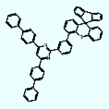 c1ccc(-c2ccc(-c3cc(-c4ccc(-c5ccccc5)cc4)nc(-c4cccc(-c5cccc6c5Sc5ccccc5C65c6ccccc6-c6ccccc65)c4)n3)cc2)cc1